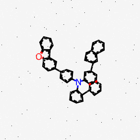 c1ccc(-c2ccccc2N(c2ccc(-c3ccc4oc5ccccc5c4c3)cc2)c2cccc(-c3ccc4ccccc4c3)c2)cc1